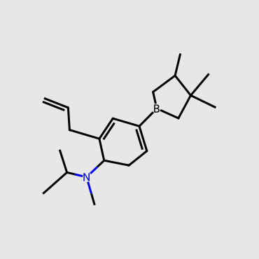 C=CCC1=CC(B2CC(C)C(C)(C)C2)=CCC1N(C)C(C)C